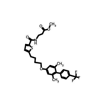 COC(=O)CCNC(=O)c1ccc(CCCCOc2cc(C)c(-c3ccc(C(F)(F)F)cc3)c(C)c2)s1